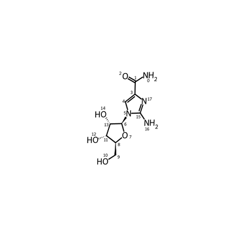 NC(=O)c1cn([C@H]2O[C@@H](CO)[C@H](O)[C@@H]2O)c(N)n1